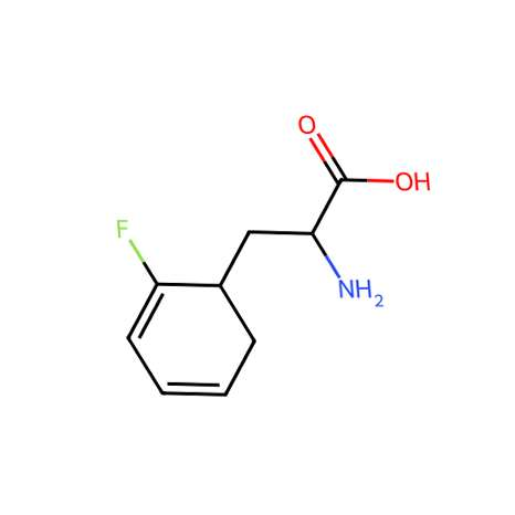 NC(CC1CC=CC=C1F)C(=O)O